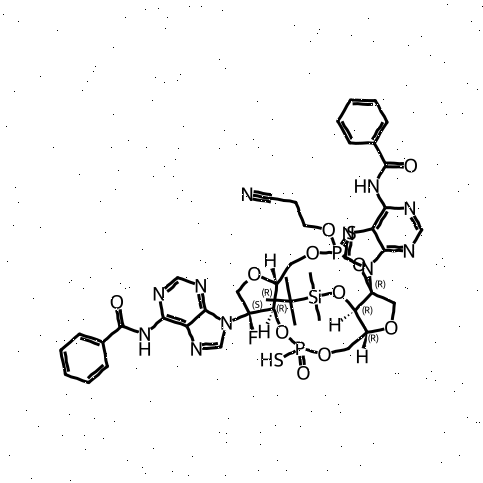 CC(C)(C)[Si](C)(C)O[C@@H]1[C@H]2COP(=O)(S)O[C@@H]3[C@@H](COP(=S)(OCCC#N)O[C@]1(n1cnc4c(NC(=O)c5ccccc5)ncnc41)CO2)OC[C@@]3(F)n1cnc2c(NC(=O)c3ccccc3)ncnc21